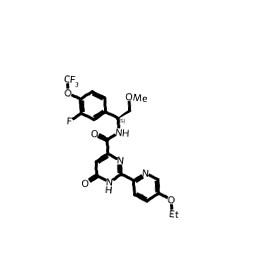 CCOc1ccc(-c2nc(C(=O)N[C@H](COC)c3ccc(OC(F)(F)F)c(F)c3)cc(=O)[nH]2)nc1